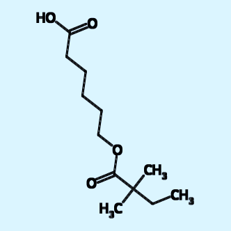 CCC(C)(C)C(=O)OCCCCCC(=O)O